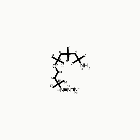 CC(C)(N)CC(C)(C)CC(C)(C)OCCC(C)(C)N=[N+]=[N-]